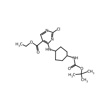 CCOC(=O)c1cnc(Cl)nc1NC1CCC(NC(=O)OC(C)(C)C)CC1